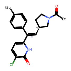 CCC(=O)N1CC[C@H](/C=C(\c2ccc(C(C)(C)C)cc2)c2ccc(Cl)c(=O)[nH]2)C1